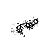 CO[C@@]1(C2CCC(C)(C)N2C)CCN(c2cc(F)c(S(=O)(=O)Nc3cccc(F)n3)c(F)c2Cl)C1